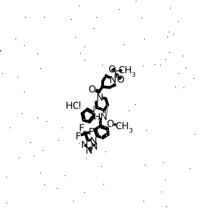 COc1ccc(-n2nnnc2C(F)(F)F)cc1CN[C@H]1CCN(C(=O)C2CCN(S(C)(=O)=O)CC2)C[C@H]1c1ccccc1.Cl